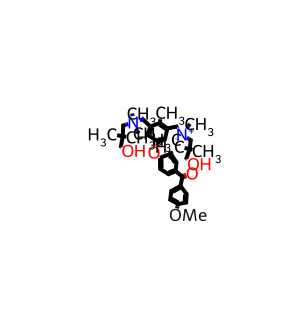 COc1ccc(C(=O)c2ccc(Oc3cc(C[N+](C)(C)CC(C)(C)CO)c(C)c(C[N+](C)(C)CC(C)(C)CO)c3)cc2)cc1